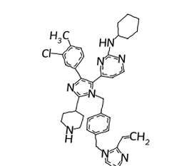 C=Cc1nccn1Cc1ccc(Cn2c(C3CCNCC3)nc(-c3ccc(C)c(Cl)c3)c2-c2ccnc(NC3CCCCC3)n2)cc1